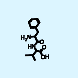 CC(C)C(NC(=O)C(N)Cc1ccccc1)C(=O)O